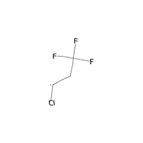 FC(F)(F)C[CH]Cl